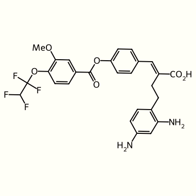 COc1cc(C(=O)Oc2ccc(C=C(CCc3ccc(N)cc3N)C(=O)O)cc2)ccc1OC(F)(F)C(F)F